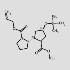 C=CCOC(=O)N1CCCC1[C@@H]1C[C@@H](O[Si](C)(C)C(C)(C)C)CN1C(=O)OC(C)(C)C